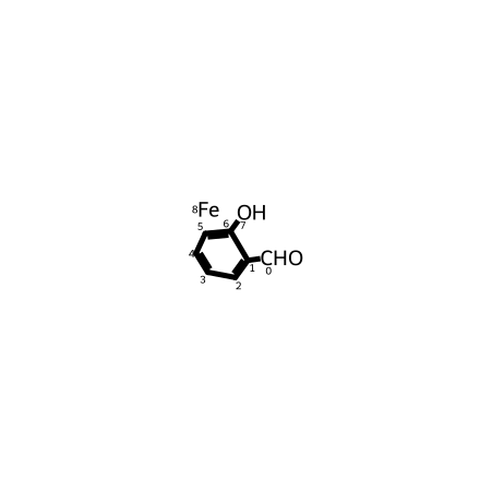 O=Cc1ccccc1O.[Fe]